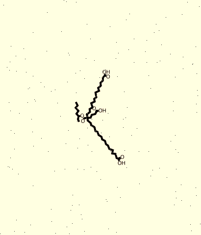 CCCCCC(CC)OC(=O)C(CCCCCCCCCCCCCCCCCC(=O)O)(CCCCCCCCCCCCCCCC(=O)O)CCCC(=O)O